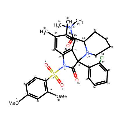 COc1ccc(S(=O)(=O)N2C(=O)C(c3ccccc3Cl)(N3CCCCC3C(=O)N(C)C)c3cc(C)c(C)cc32)c(OC)c1